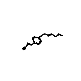 [C]#CCCc1ccc(CCCCCC)cc1